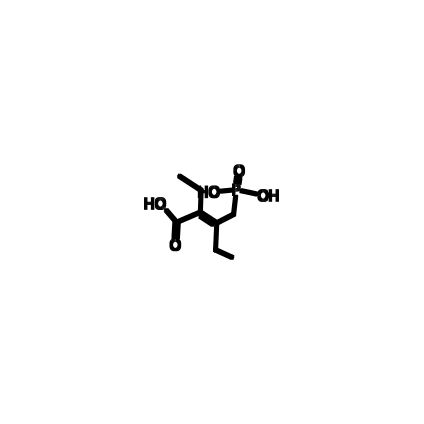 CCC(CP(=O)(O)O)=C(CC)C(=O)O